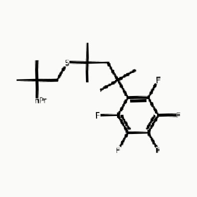 CCCC(C)(C)CSC(C)(C)CC(C)(C)c1c(F)c(F)c(F)c(F)c1F